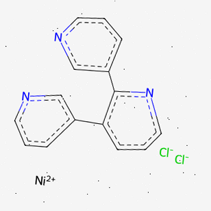 [Cl-].[Cl-].[Ni+2].c1cncc(-c2cccnc2-c2cccnc2)c1